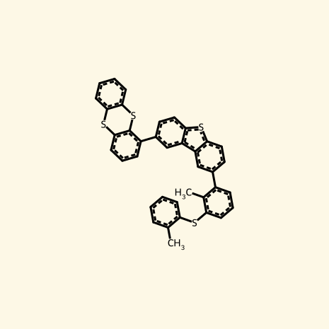 Cc1ccccc1Sc1cccc(-c2ccc3sc4ccc(-c5cccc6c5Sc5ccccc5S6)cc4c3c2)c1C